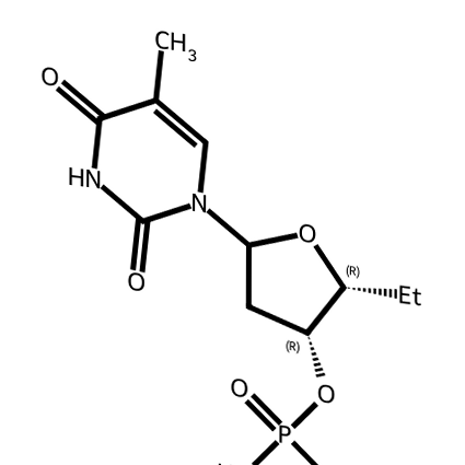 CC[C@H]1OC(n2cc(C)c(=O)[nH]c2=O)C[C@H]1OP(=O)(O)OC